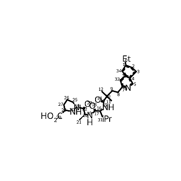 CCc1ccc2cnc(CCC(C)(C)C(=O)NC(C(=O)N[C@@H](C)C(=O)N3CCCC(C(=O)O)N3)C(C)C)cc2c1